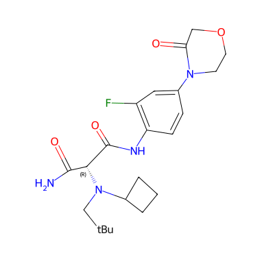 CC(C)(C)CN(C1CCC1)[C@H](C(N)=O)C(=O)Nc1ccc(N2CCOCC2=O)cc1F